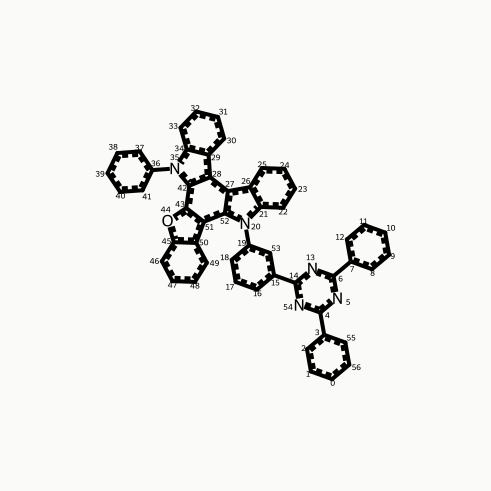 c1ccc(-c2nc(-c3ccccc3)nc(-c3cccc(-n4c5ccccc5c5c6c7ccccc7n(-c7ccccc7)c6c6oc7ccccc7c6c54)c3)n2)cc1